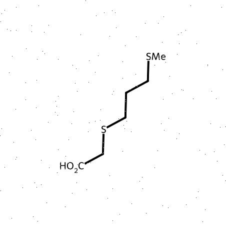 CSCCCSCC(=O)O